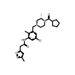 Cc1cc(CC(=O)Nc2cc(Cl)cc(CN3CCN(C(=O)C4CCCC4)[C@@H](C)C3)c2C)on1